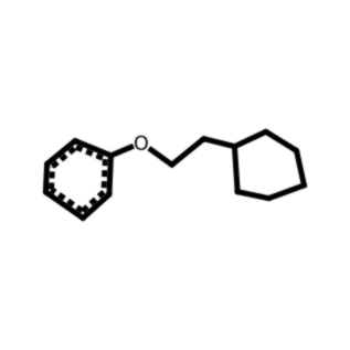 c1ccc(OCCC2CCCCC2)cc1